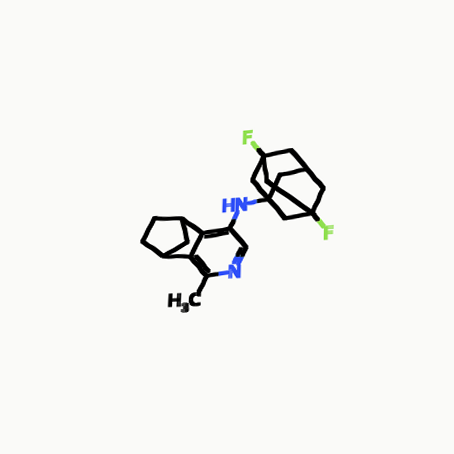 Cc1ncc(NC23CC4CC(F)(CC(F)(C4)C2)C3)c2c1C1CCC2C1